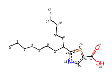 CCCCCCCC(CCCCC)c1ncc(C(=O)O)s1